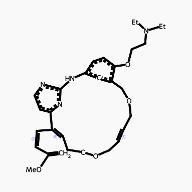 C=C(/C=C\C1=C/CCOC/C=C/COCc2cc(ccc2OCCN(CC)CC)Nc2nccc1n2)OC